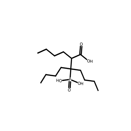 CCCCC(C(=O)O)C(CCCC)(CCCC)P(=O)(O)O